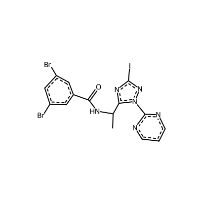 CC(NC(=O)c1cc(Br)cc(Br)c1)c1nc(I)nn1-c1ncccn1